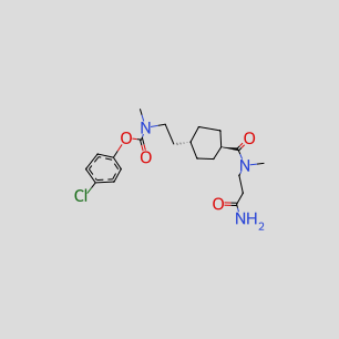 CN(CC[C@H]1CC[C@H](C(=O)N(C)CCC(N)=O)CC1)C(=O)Oc1ccc(Cl)cc1